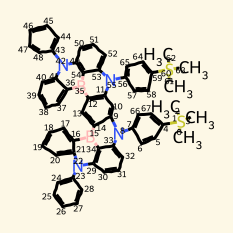 CS(C)(C)c1ccc(N2c3cc4c(cc3B3c5ccccc5N(c5ccccc5)c5cccc2c53)B2c3ccccc3N(c3ccccc3)c3cccc(c32)N4c2ccc(S(C)(C)C)cc2)cc1